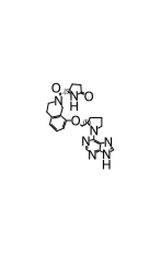 O=C1CC[C@@H](C(=O)N2CCc3cccc(OC[C@H]4CCCN4c4ncnc5[nH]cnc45)c3C2)N1